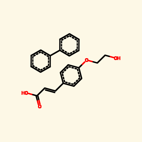 O=C(O)C=Cc1ccc(OCCO)cc1.c1ccc(-c2ccccc2)cc1